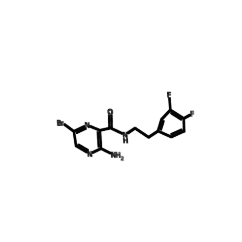 Nc1ncc(Br)nc1C(=O)NCCc1ccc(F)c(F)c1